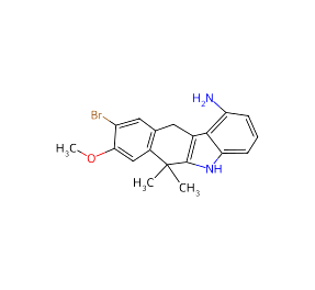 COc1cc2c(cc1Br)Cc1c([nH]c3cccc(N)c13)C2(C)C